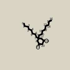 CCCCCCCCC1(CCCCCCCC)CC(=O)CC(=O)C1